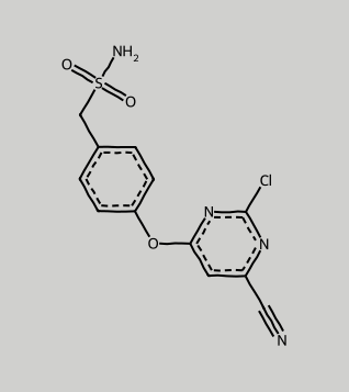 N#Cc1cc(Oc2ccc(CS(N)(=O)=O)cc2)nc(Cl)n1